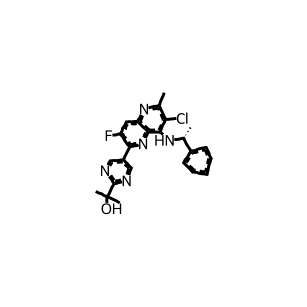 Cc1nc2cc(F)c(-c3cnc(C(C)(C)O)nc3)nc2c(N[C@H](C)c2ccccc2)c1Cl